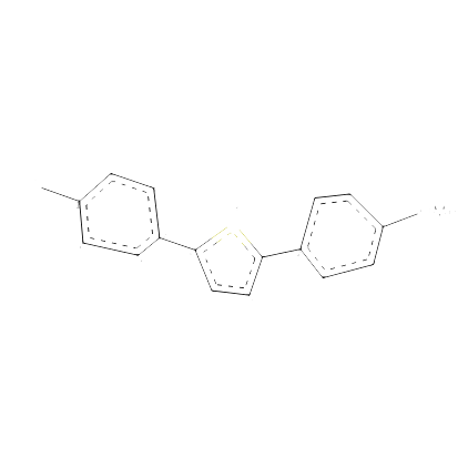 COc1ccc(-c2ccc(-c3ccc(C)cc3)s2)cc1